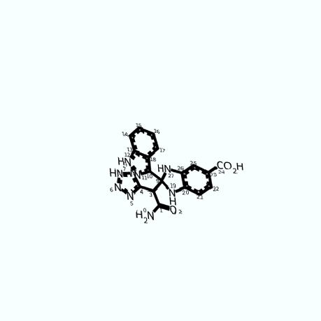 NC(=O)C(c1nn[nH]n1)C1(c2n[nH]c3ccccc23)Nc2ccc(C(=O)O)cc2N1